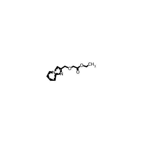 CCOC(=O)COCc1cn2ccccc2n1